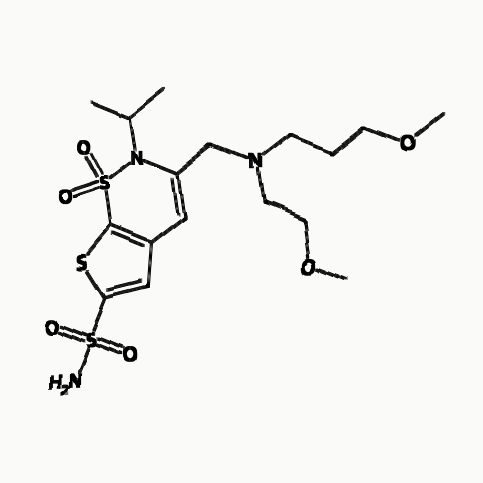 COCCCN(CCOC)CC1=Cc2cc(S(N)(=O)=O)sc2S(=O)(=O)N1C(C)C